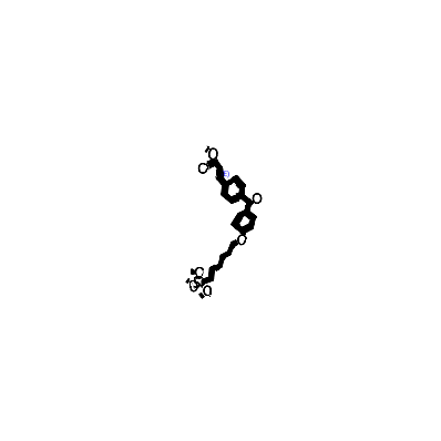 COC(=O)/C=C/c1ccc(C(=O)c2ccc(OCCCCCC[Si](OC)(OC)OC)cc2)cc1